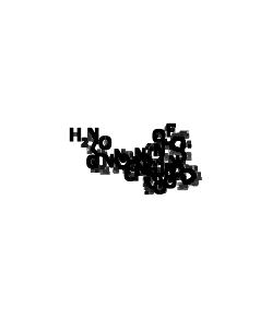 NC(=O)CC1CN(c2cc(C(F)(F)F)c(-c3nc4c(c(N5CCOCC5)n3)CCN(C(=O)c3cc(Cc5n[nH]c(=O)c6ccccc56)ccc3F)C4)cn2)CCO1